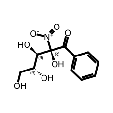 O=C(c1ccccc1)[C@](O)([C@H](O)[C@H](O)CO)[N+](=O)[O-]